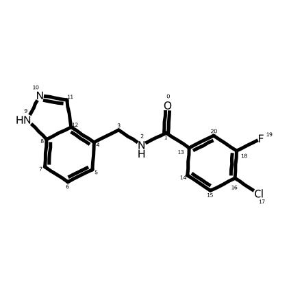 O=C(NCc1cccc2[nH]ncc12)c1ccc(Cl)c(F)c1